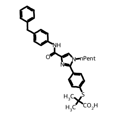 CCCCCn1cc(C(=O)Nc2ccc(Cc3ccccc3)cc2)nc1-c1ccc(SC(C)(C)C(=O)O)cc1